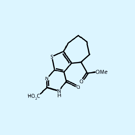 COC(=O)C1CCCCc2sc3nc(C(=O)O)[nH]c(=O)c3c21